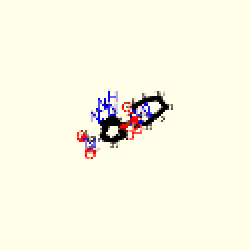 O=C(c1cnn[nH]1)N1CC2CCC(C1)N2S(=O)(=O)c1ccc([N+](=O)[O-])cc1